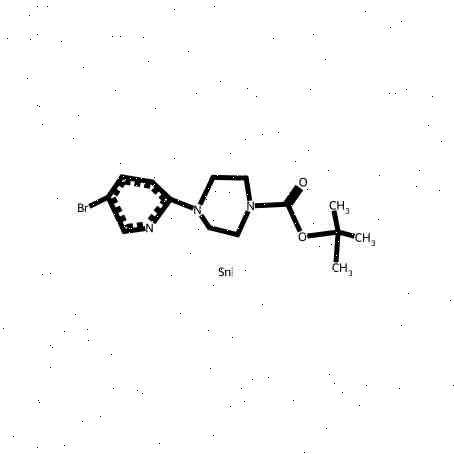 CC(C)(C)OC(=O)N1CCN(c2ccc(Br)cn2)CC1.[Sn]